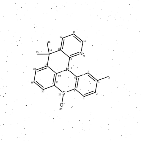 Cc1ccc2c(c1)N1c3ncccc3C(C)(C)c3cccc(c31)[S+]2[O-]